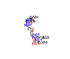 COC[C@H]1C[C@@H](c2nc3ccc4cc5c(cc4c3[nH]2)OCc2cc(-c3cnc([C@@H]4CC[C@H](C)N4C(=O)C(NC(=O)OC)C(C)C)[nH]3)ccc2-5)N(C(=O)[C@@H](NC(=O)OC)C2CCOCC2)C1